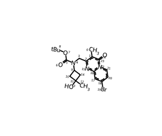 Cc1c(CN(C(=O)OC(C)(C)C)C2CC(C)(O)C2)nc2cc(Br)ccn2c1=O